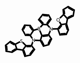 c1ccc2c(c1)B1c3ccccc3N(c3cccc4c3sc3ccccc34)c3cccc(c31)N2c1cccc2c1oc1ccccc12